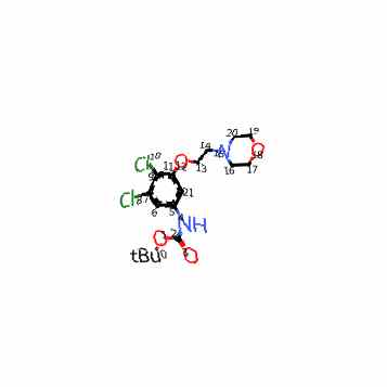 CC(C)(C)OC(=O)Nc1cc(Cl)c(Cl)c(OCCN2CCOCC2)c1